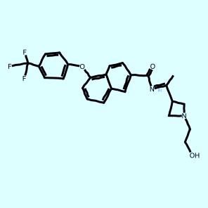 C/C(=N\C(=O)c1ccc2c(Oc3ccc(C(F)(F)F)cc3)cccc2c1)C1CN(CCO)C1